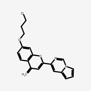 C=C1C=C(c2cc3cccn3cn2)Oc2cc(OCCCCl)ccc21